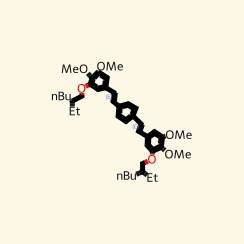 CCCCC(CC)COc1cc(/C=C/c2ccc(/C=C/c3cc(OC)c(OC)c(OCC(CC)CCCC)c3)cc2)cc(OC)c1OC